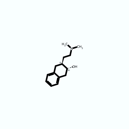 CN(C)CC[C@@H]1Cc2ccccc2C[C@H]1O